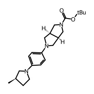 C[C@@H]1CCN(c2ccc(N3C[C@H]4CN(C(=O)OC(C)(C)C)C[C@H]4C3)cc2)C1